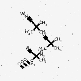 CC(C)(C)C#N.CC(C)(C)C#N.CC(C)(C)C#N.[C]=O.[C]=O.[C]=O.[W]